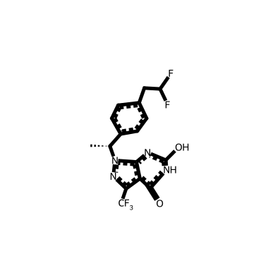 C[C@H](c1ccc(CC(F)F)cc1)n1nc(C(F)(F)F)c2c(=O)[nH]c(O)nc21